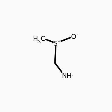 C[S+]([O-])C[NH]